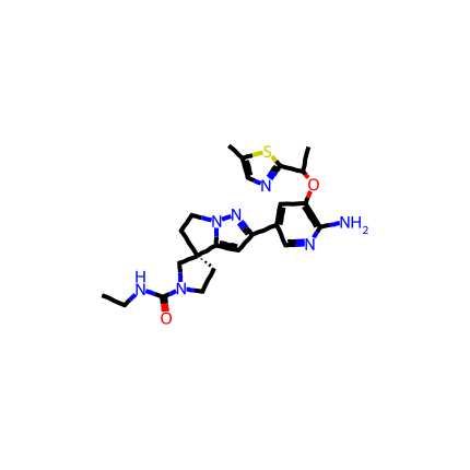 CCNC(=O)N1CC[C@@]2(CCn3nc(-c4cnc(N)c(OC(C)c5ncc(C)s5)c4)cc32)C1